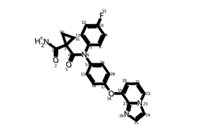 NC(=O)C1(C(=O)N(c2ccc(F)cc2)c2ccc(Oc3cccn4ccnc34)cc2)CC1